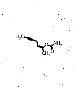 CC#CCC=C(C)OC(N)=O